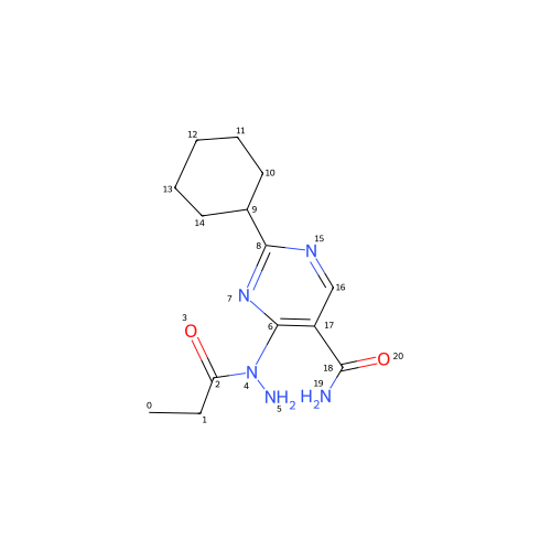 CCC(=O)N(N)c1nc(C2CCCCC2)ncc1C(N)=O